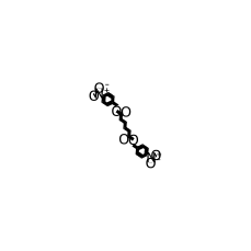 O=C(CCCCC(=O)OCc1ccc([N+](=O)[O-])cc1)OCc1ccc([N+](=O)[O-])cc1